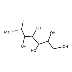 CO[C@H](I)C(O)C(O)C(O)C(O)CO